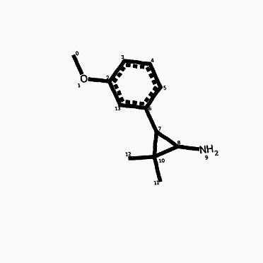 COc1cccc(C2C(N)C2(C)C)c1